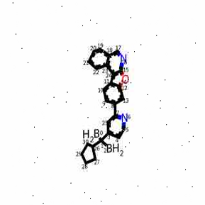 BC(B)(c1ccnc(-c2ccc3c(c2)oc2ncc4ccccc4c23)c1)C1CCCC1